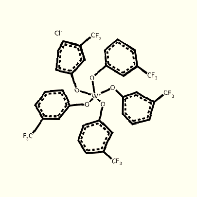 FC(F)(F)c1cccc([O][W+]([O]c2cccc(C(F)(F)F)c2)([O]c2cccc(C(F)(F)F)c2)([O]c2cccc(C(F)(F)F)c2)[O]c2cccc(C(F)(F)F)c2)c1.[Cl-]